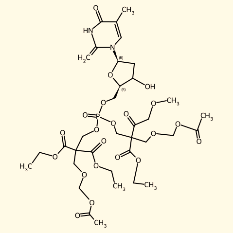 C=C1NC(=O)C(C)=CN1[C@H]1CC(O)[C@@H](COP(=O)(OCC(COCOC(C)=O)(C(=O)COC)C(=O)OCC)OCC(COCOC(C)=O)(C(=O)OCC)C(=O)OCC)O1